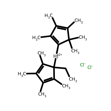 CC[C]1([Hf+2][C]2=C(C)C(C)=C(C)C2(C)C)C(C)=C(C)C(C)=C1C.[Cl-].[Cl-]